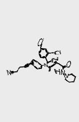 Cc1c(C(=O)NN2CCCCC2)nc(-c2ccc(Cl)cc2Cl)n1-c1ccc(C#CCCC#N)cc1